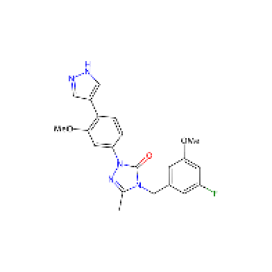 COc1cc(F)cc(Cn2c(C)nn(-c3ccc(-c4cn[nH]c4)c(OC)c3)c2=O)c1